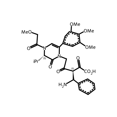 COCC(=O)N1C=C(c2cc(OC)c(OC)c(OC)c2)N(CC(=O)[C@@H](C(=O)C(=O)O)C(N)c2ccccc2)C(=O)[C@@H]1C(C)C